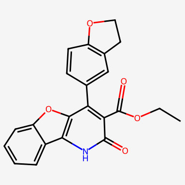 CCOC(=O)c1c(-c2ccc3c(c2)CCO3)c2oc3ccccc3c2[nH]c1=O